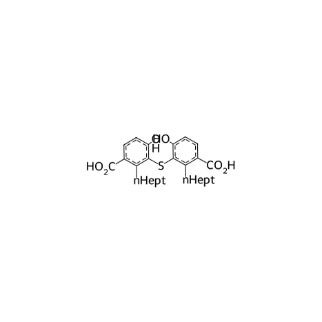 CCCCCCCc1c(C(=O)O)ccc(O)c1Sc1c(O)ccc(C(=O)O)c1CCCCCCC